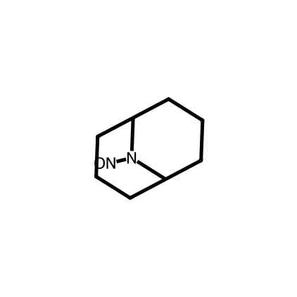 O=NN1C2CCCC1CCC2